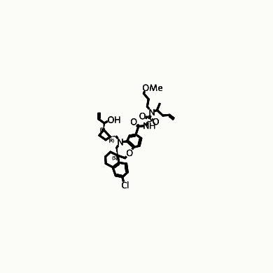 C=CCC(C)N(CCCOC)S(=O)(=O)NC(=O)c1ccc2c(c1)N(C[C@@H]1CC[C@H]1C(O)C=C)C[C@@]1(CCCc3cc(Cl)ccc31)CO2